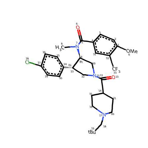 COc1ccc(C(=O)N(C)[C@H]2CN(C(=O)C3CCN(CC(C)(C)C)CC3)C[C@@H]2c2ccc(Cl)cc2)cc1C(F)(F)F